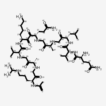 C=C(C)N[C@@H](CCCNC(N)N)C(=O)CN[C@@H](C)C(=O)CN[C@H](C(=O)N[C@@H](CCCCN)C(=O)C(=O)[C@H](CCC(N)=O)NCC(=O)[C@H](C)NCC(=O)[C@H](CC(C)C)NC(=O)[C@@H](NC(=O)[C@@H](N)CCC(N)=O)C(C)C)C(C)C